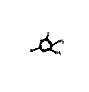 Cc1cc(Br)nc(F)c1N